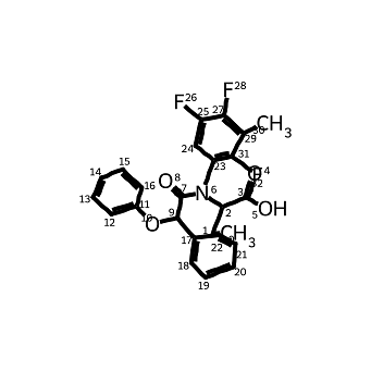 CCC(C(=O)O)N(C(=O)C(Oc1ccccc1)c1ccccc1)c1cc(F)c(F)c(C)c1F